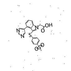 CS(=O)(=O)c1ccc(Sc2cn(CC(=O)O)c3cccc(-c4cncnc4)c23)cc1